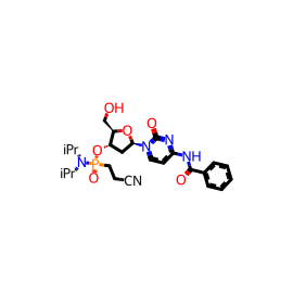 CC(C)N(C(C)C)P(=O)(CCC#N)O[C@H]1C[C@H](n2ccc(NC(=O)c3ccccc3)nc2=O)O[C@@H]1CO